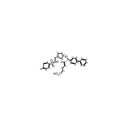 Cc1ccc(S(=O)(=O)NC[C@H]2CC[C@H](OCc3ccc(-c4ccccc4)cc3)[C@@H]2C/C=C\CCC(=O)O)cc1